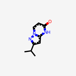 CC(C)c1cc2[nH]c(=O)ccn2n1